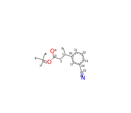 CC(CC(=O)OC(C)(C)C)c1cccc(C#N)c1